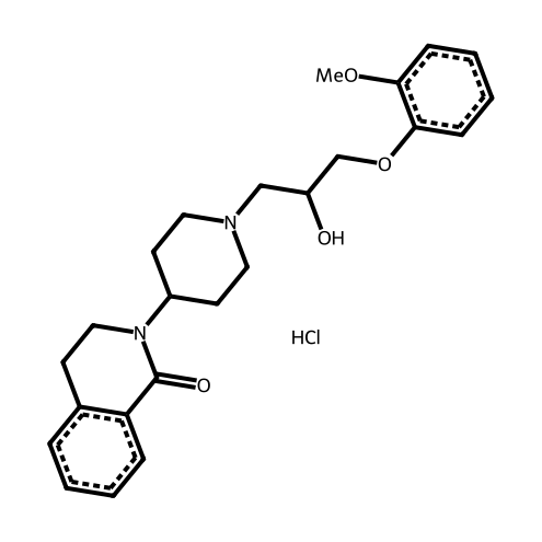 COc1ccccc1OCC(O)CN1CCC(N2CCc3ccccc3C2=O)CC1.Cl